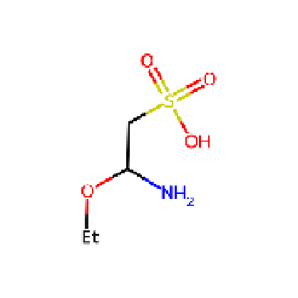 CCOC(N)CS(=O)(=O)O